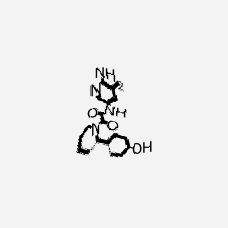 Cc1cc(NC(=O)C(=O)N2CCCC[C@H]2[C@H]2CC[C@@H](O)CC2)cnc1N